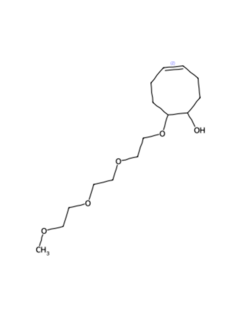 COCCOCCOCCOC1CC/C=C\CCC1O